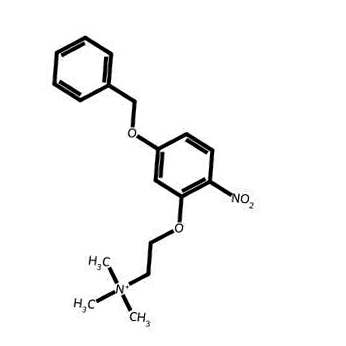 C[N+](C)(C)CCOc1cc(OCc2ccccc2)ccc1[N+](=O)[O-]